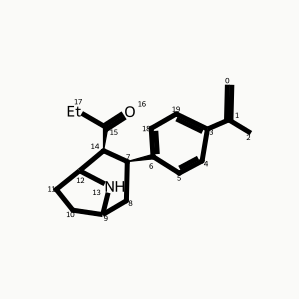 C=C(C)c1ccc([C@H]2CC3CCC(N3)[C@H]2C(=O)CC)cc1